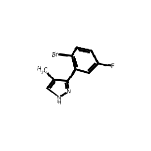 Cc1c[nH]nc1-c1cc(F)ccc1Br